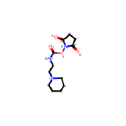 O=C(NCCN1CCCCC1)ON1C(=O)CCC1=O